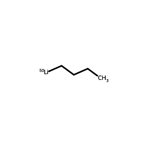 [50Li][CH2]CCC